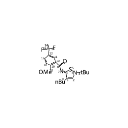 CCCCc1cn(C(C)(C)C)sc1=NC(=O)c1cc(C(C)(F)F)ccc1OC